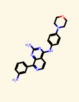 Nc1cccc(-c2nccc3c(Nc4ccc(N5CCOCC5)cc4)nc(N)nc23)c1